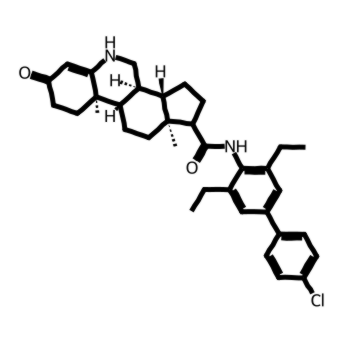 CCc1cc(-c2ccc(Cl)cc2)cc(CC)c1NC(=O)C1CC[C@H]2[C@@H]3CNC4=CC(=O)CC[C@]4(C)[C@@H]3CC[C@]12C